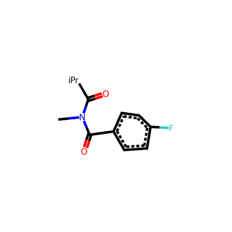 CC(C)C(=O)N(C)C(=O)c1ccc(F)cc1